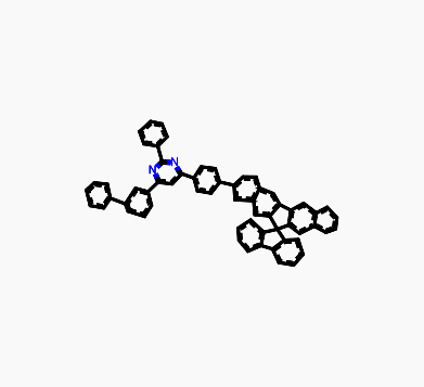 c1ccc(-c2cccc(-c3cc(-c4ccc(-c5ccc6cc7c(cc6c5)C5(c6ccccc6-c6ccccc65)c5cc6ccccc6cc5-7)cc4)nc(-c4ccccc4)n3)c2)cc1